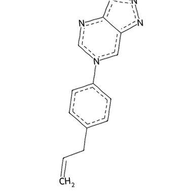 C=CCc1ccc(-n2cnc3nnnc-3c2)cc1